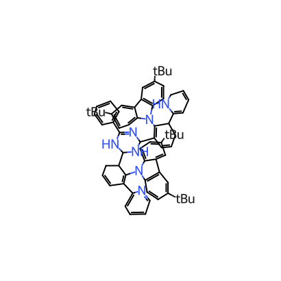 CC(C)(C)c1ccc2c(c1)c1cc(C(C)(C)C)ccc1n2C1=C(C2N=C(c3ccccc3)NC(C3CC=CC(c4ccccn4)=C3n3c4ccc(C(C)(C)C)cc4c4cc(C(C)(C)C)ccc43)N2)C=CCC1C1=CC=CCN1